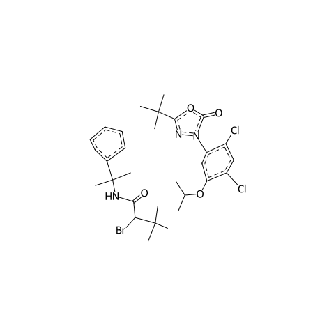 CC(C)(NC(=O)C(Br)C(C)(C)C)c1ccccc1.CC(C)Oc1cc(-n2nc(C(C)(C)C)oc2=O)c(Cl)cc1Cl